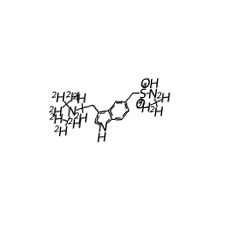 [2H]C([2H])([2H])NS(=O)(=O)Cc1ccc2[nH]cc(CC([2H])([2H])N(C([2H])([2H])[2H])C([2H])([2H])[2H])c2c1